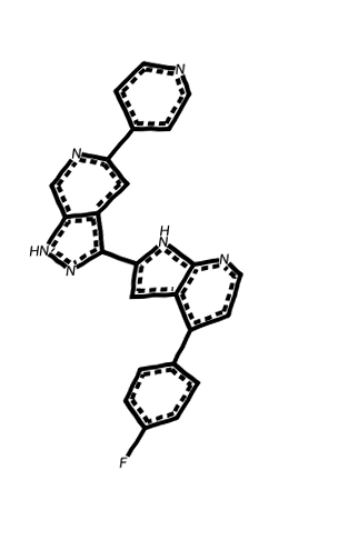 Fc1ccc(-c2ccnc3[nH]c(-c4n[nH]c5cnc(-c6ccncc6)cc45)cc23)cc1